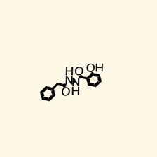 O=C(Cc1ccccc1)NNC(=O)c1ccccc1O